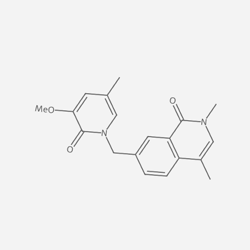 COc1cc(C)cn(Cc2ccc3c(C)cn(C)c(=O)c3c2)c1=O